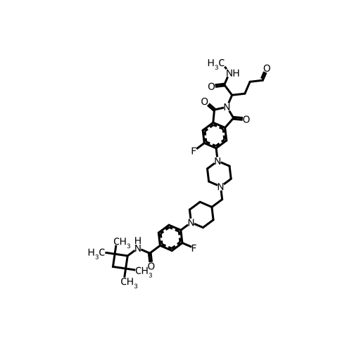 CNC(=O)C(CCC=O)N1C(=O)c2cc(F)c(N3CCN(CC4CCN(c5ccc(C(=O)NC6C(C)(C)CC6(C)C)cc5F)CC4)CC3)cc2C1=O